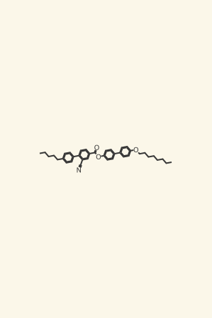 CCCCCCCCOc1ccc(-c2ccc(OC(=O)c3ccc(-c4ccc(CCCCC)cc4)c(C#N)c3)cc2)cc1